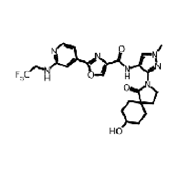 Cn1cc(NC(=O)c2coc(-c3ccnc(NCC(F)(F)F)c3)n2)c(N2CCC3(CCC(O)CC3)C2=O)n1